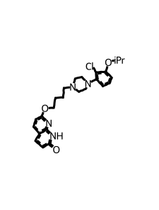 CC(C)Oc1cccc(N2CCN(CCCCOc3ccc4ccc(=O)[nH]c4n3)CC2)c1Cl